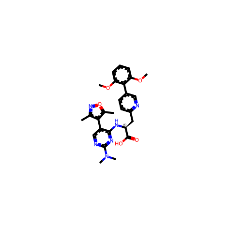 COc1cccc(OC)c1-c1ccc(C[C@H](Nc2nc(N(C)C)ncc2-c2c(C)noc2C)C(=O)O)nc1